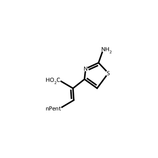 CCCCCC=C(C(=O)O)c1csc(N)n1